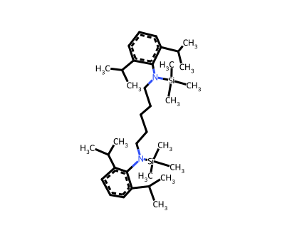 CC(C)c1cccc(C(C)C)c1N(CCCCCN(c1c(C(C)C)cccc1C(C)C)[Si](C)(C)C)[Si](C)(C)C